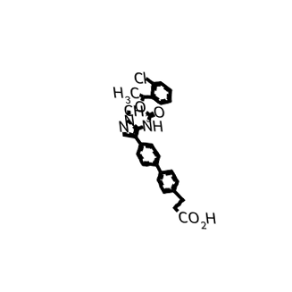 CC(OC(=O)Nc1c(-c2ccc(-c3ccc(CCC(=O)O)cc3)cc2)cnn1C)c1ccccc1Cl